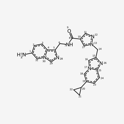 Nc1ccc2c(CNC(=O)c3cnn(Cc4cn5cc(C6CC6)ccc5n4)c3)ncn2c1